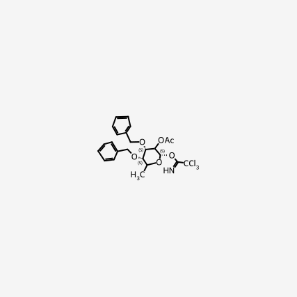 CC(=O)OC1[C@H](OC(=N)C(Cl)(Cl)Cl)OC(C)[C@H](OCc2ccccc2)[C@@H]1OCc1ccccc1